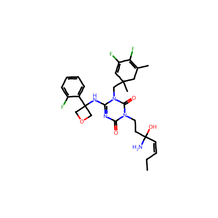 CC/C=C\C(N)(O)CCn1c(=O)nc(NC2(c3ccccc3F)COC2)n(CC2(C)C=C(F)C(F)=C(C)C2)c1=O